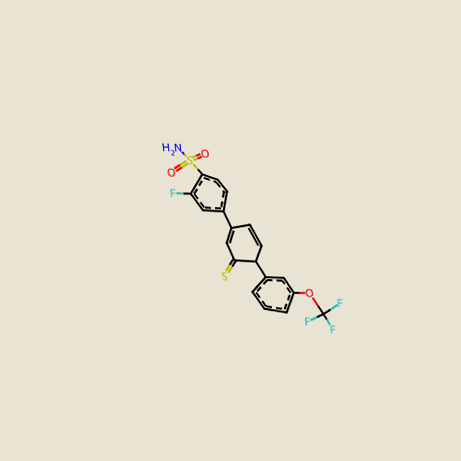 NS(=O)(=O)c1ccc(C2=CC(=S)C(c3cccc(OC(F)(F)F)c3)C=C2)cc1F